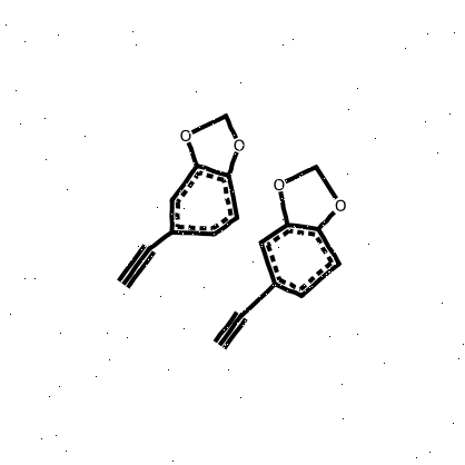 C#Cc1ccc2c(c1)OCO2.C#Cc1ccc2c(c1)OCO2